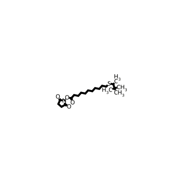 CC(SCCCCCCCCCCC(=O)ON1C(=O)CCC1=O)C(C)(C)C